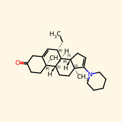 CC[C@H]1C=C2CC(=O)CC[C@]2(C)[C@H]2CC[C@]3(C)C(N4CCCCC4)=CC[C@H]3[C@H]12